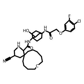 N#CC1CNC(C(=O)NC23CCC(NC(=O)COc4ccc(Cl)c(F)c4)(CC2)CC3O)C2(CCCCCCCCCC2)C1